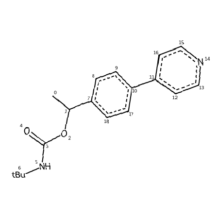 CC(OC(=O)NC(C)(C)C)c1ccc(-c2ccncc2)cc1